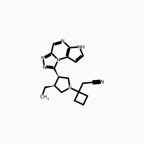 CC[C@@H]1CN(C2(CC#N)CCC2)C[C@@H]1c1nnc2cnc3[nH]ccc3n12